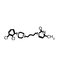 Cc1ccn(CCCCN2CCN(c3cccc(Cl)c3Cl)CC2)c(=O)n1